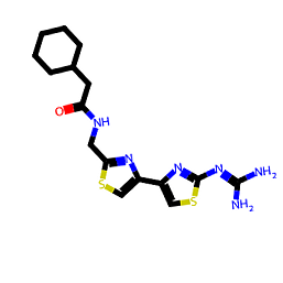 NC(N)=Nc1nc(-c2csc(CNC(=O)CC3CCCCC3)n2)cs1